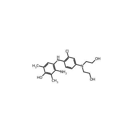 Cc1cc(Nc2ccc(N(CCO)CCO)cc2Cl)c(N)c(C)c1O